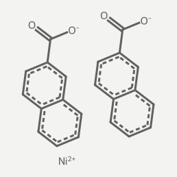 O=C([O-])c1ccc2ccccc2c1.O=C([O-])c1ccc2ccccc2c1.[Ni+2]